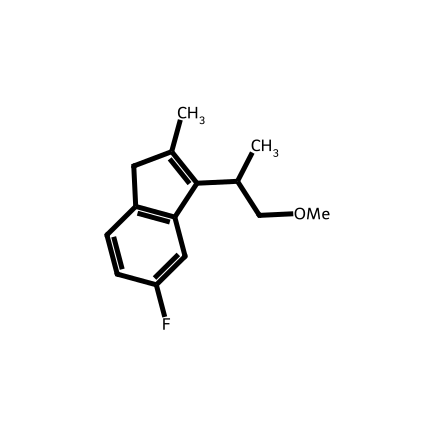 COCC(C)C1=C(C)Cc2ccc(F)cc21